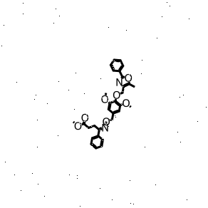 COC(=O)CC/C(=N\OCc1cc(OC)c(OCc2nc(-c3ccccc3)oc2C)c(OC)c1)c1ccccc1